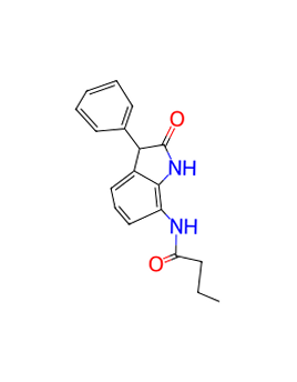 CCCC(=O)Nc1cccc2c1NC(=O)C2c1ccccc1